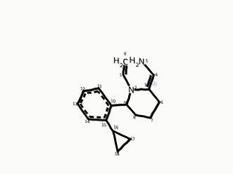 C=CN1/C(=C\N)CCCC1c1ccccc1C1CC1